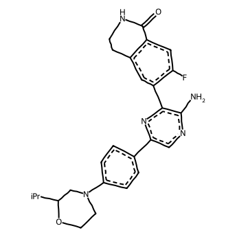 CC(C)C1CN(c2ccc(-c3cnc(N)c(-c4cc5c(cc4F)C(=O)NCC5)n3)cc2)CCO1